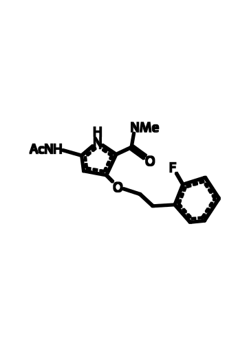 CNC(=O)c1[nH]c(NC(C)=O)cc1OCCc1ccccc1F